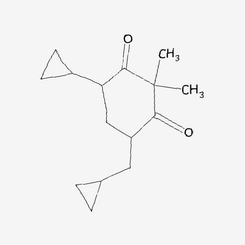 CC1(C)C(=O)C(CC2CC2)CC(C2CC2)C1=O